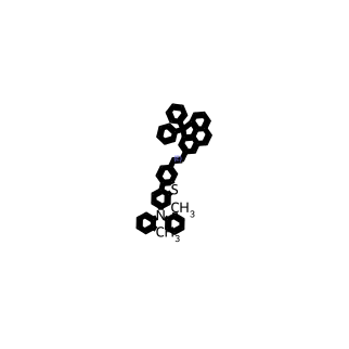 Cc1ccccc1N(c1ccc2c(c1)sc1cc(/C=C/c3cc4c5c(ccc6cccc(c65)C4(c4ccccc4)c4ccccc4)c3)ccc12)c1ccccc1C